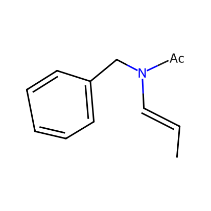 C/C=C/N(Cc1ccccc1)C(C)=O